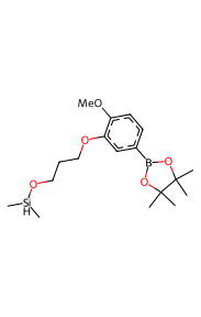 COc1ccc(B2OC(C)(C)C(C)(C)O2)cc1OCCCO[SiH](C)C